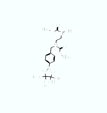 CN(CCN(Cc1ccc(B2OC(C)(C)C(C)(C)O2)cc1)C(=O)OC(C)(C)C)C(=O)OC(C)(C)C